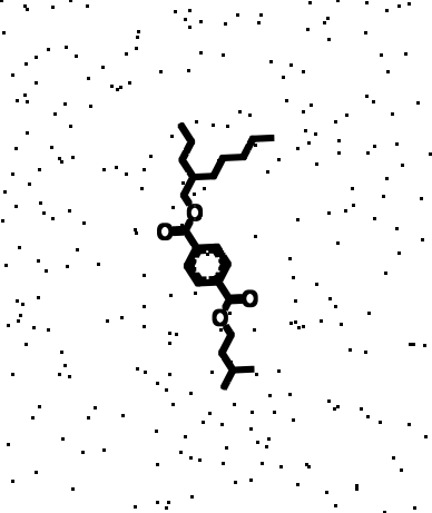 CCCCCC(CCC)COC(=O)c1ccc(C(=O)OCCC(C)C)cc1